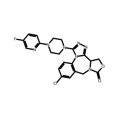 O=C1OCC2c3nnc(N4CCN(c5ccc(F)cn5)CC4)n3-c3ccc(Cl)cc3CN12